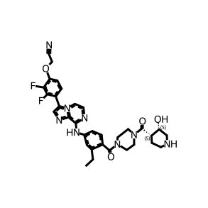 CCc1cc(Nc2nccn3c(-c4ccc(OCC#N)c(F)c4F)cnc23)ccc1C(=O)N1CCN(C(=O)[C@H]2CCNC[C@H]2O)CC1